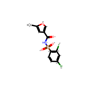 Cc1cc(C(=O)NS(=O)(=O)c2ccc(Br)cc2F)co1